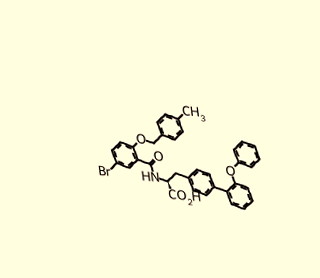 Cc1ccc(COc2ccc(Br)cc2C(=O)N[C@@H](Cc2ccc(-c3ccccc3Oc3ccccc3)cc2)C(=O)O)cc1